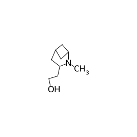 CN1C(CCO)CC2CC1C2